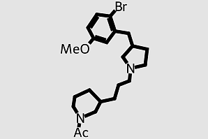 COc1ccc(Br)c(CC2CCN(CCCC3CCCN(C(C)=O)C3)C2)c1